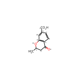 CC1CC(=O)c2ccc(C(=O)O)cc2O1